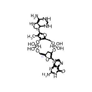 Cc1c(N2CNC3=C(N)NCNC32)oc2c1O[PH](O)(O)O/C=C1\CC(=C(n3cnc4c(=O)[nH]c(N)nc43)O1)O[PH](O)(O)OC2